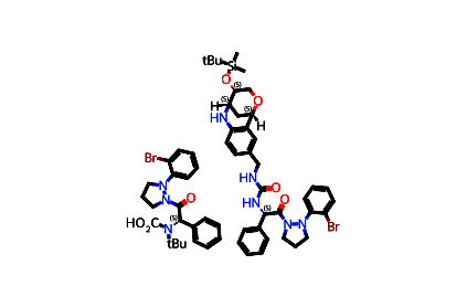 CC(C)(C)N(C(=O)O)[C@H](C(=O)N1CCCN1c1ccccc1Br)c1ccccc1.CC(C)(C)[Si](C)(C)O[C@@H]1CO[C@H]2C[C@@H]1Nc1ccc(CNC(=O)N[C@H](C(=O)N3CCCN3c3ccccc3Br)c3ccccc3)cc12